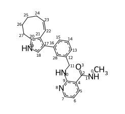 CNC(=O)c1cccnc1NCc1cccc(-c2c[nH]c3c2/C=C\CCCC3)c1